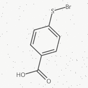 O=C(O)c1ccc(SBr)cc1